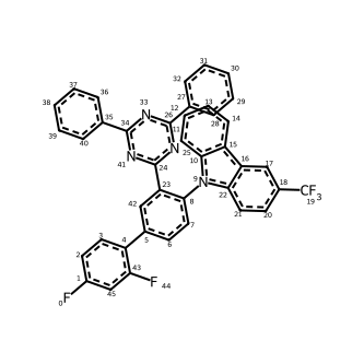 Fc1ccc(-c2ccc(-n3c4ccccc4c4cc(C(F)(F)F)ccc43)c(-c3nc(-c4ccccc4)nc(-c4ccccc4)n3)c2)c(F)c1